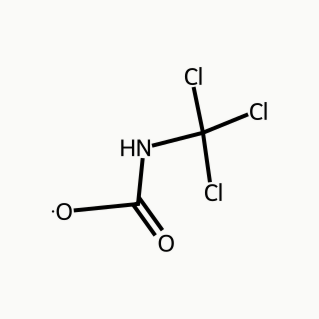 [O]C(=O)NC(Cl)(Cl)Cl